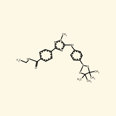 Cn1nc(-c2ccc(C(=O)NCC(F)(F)F)cc2)nc1Nc1ccc(B2OC(C)(C)C(C)(C)O2)cc1